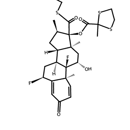 C[C@@H]1C[C@H]2[C@@H]3C[C@H](F)C4=CC(=O)C=C[C@]4(C)[C@@]3(F)[C@@H](O)C[C@]2(C)[C@@]1(OC(=O)C1(C)SCCS1)C(=O)SCF